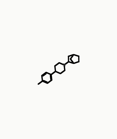 Cc1ccc(C2CCN(C3CC4CCC3C4)CC2)cc1